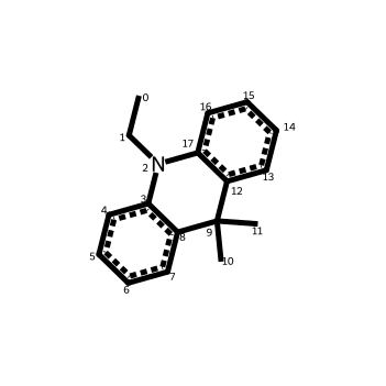 CCN1c2ccccc2C(C)(C)c2ccccc21